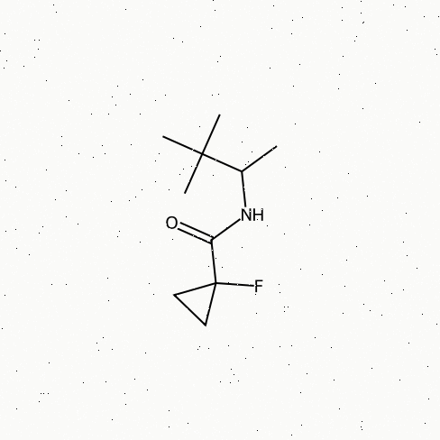 CC(NC(=O)C1(F)CC1)C(C)(C)C